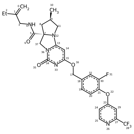 C=C(CC)CNC(=O)[C@]12C[C@@H](C)CN1c1cc(OCc3ccc(Oc4ccnc(C(F)(F)F)c4)c(F)c3)nc(=O)n1C2